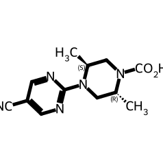 C[C@@H]1CN(c2ncc(C#N)cn2)[C@@H](C)CN1C(=O)O